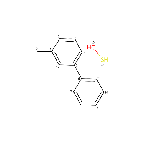 Cc1cccc(-c2[c]cccc2)c1.OS